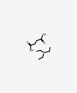 CCN(CC)CC.O=C(O)CCC(=O)O